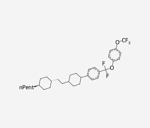 CCCCC[C@H]1CC[C@H](CCC2CCC(c3ccc(C(F)(F)Oc4ccc(OC(F)(F)F)cc4)cc3)CC2)CC1